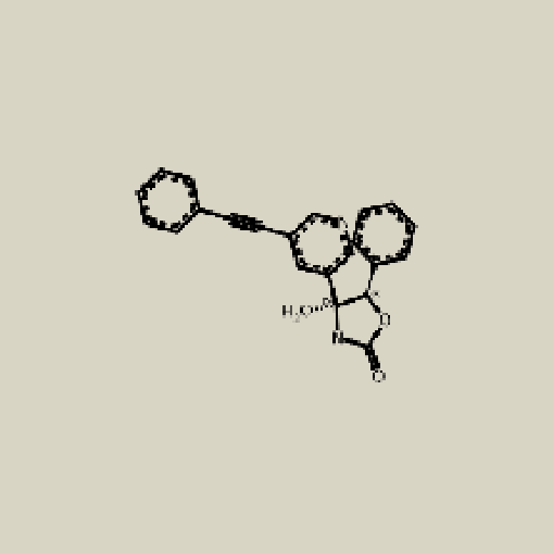 C[C@@]1(c2cncc(C#Cc3ccccc3)c2)NC(=O)O[C@@H]1c1ccccc1